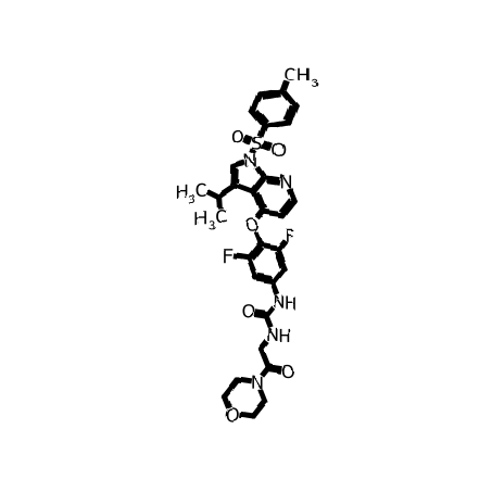 Cc1ccc(S(=O)(=O)n2cc(C(C)C)c3c(Oc4c(F)cc(NC(=O)NCC(=O)N5CCOCC5)cc4F)ccnc32)cc1